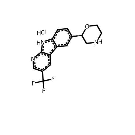 Cl.FC(F)(F)c1cnc2[nH]c3ccc([C@@H]4CNCCO4)cc3c2c1